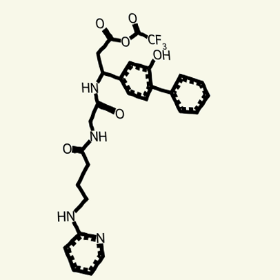 O=C(CCCNc1ccccn1)NCC(=O)NC(CC(=O)OC(=O)C(F)(F)F)c1ccc(-c2ccccc2)c(O)c1